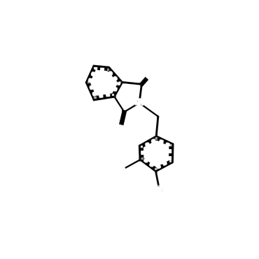 Cc1cc(CN2C(=O)c3ccccc3C2=O)ccc1Br